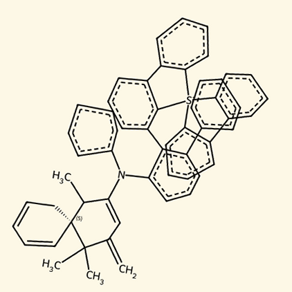 C=C1C=C(N(c2ccccc2)c2cccc(-c3ccccc3)c2-c2cccc3c2[Si]2(c4ccccc4-c4ccccc42)c2ccccc2-3)C(C)[C@]2(C=CC=CC2)C1(C)C